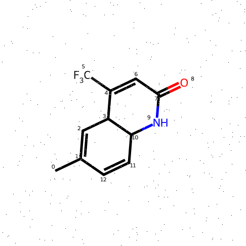 CC1=CC2C(C(F)(F)F)=CC(=O)NC2C=C1